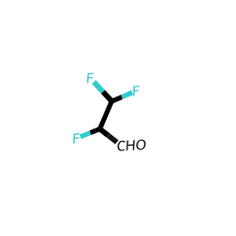 O=CC(F)C(F)F